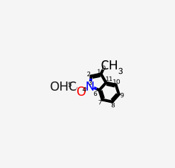 Cc1cn(OC=O)c2ccccc12